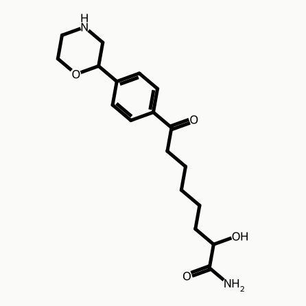 NC(=O)C(O)CCCCCC(=O)c1ccc(C2CNCCO2)cc1